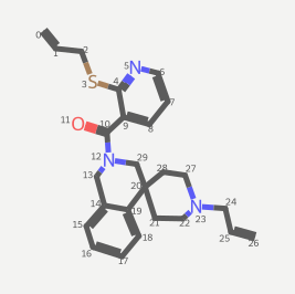 C=CCSc1ncccc1C(=O)N1Cc2ccccc2C2(CCN(CC=C)CC2)C1